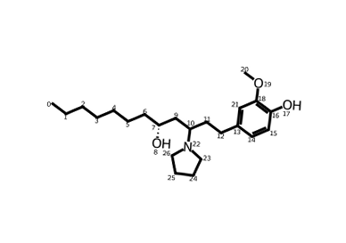 CCCCCCC[C@@H](O)CC(CCc1ccc(O)c(OC)c1)N1CCCC1